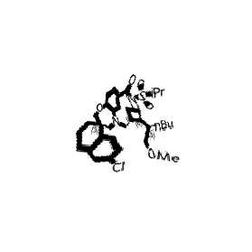 CCCC[C@H](COC)[C@@H]1CC[C@H]1CN1C[C@@]2(CCCc3cc(Cl)ccc32)COc2ccc(C(=O)NS(=O)(=O)C(C)C)cc21